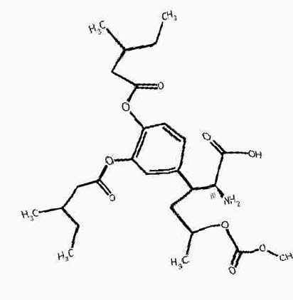 CCC(C)CC(=O)Oc1ccc(C(CC(C)OC(=O)OC)[C@H](N)C(=O)O)cc1OC(=O)CC(C)CC